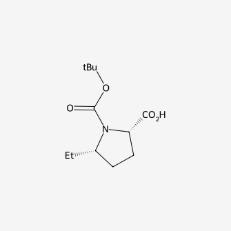 CC[C@H]1CC[C@@H](C(=O)O)N1C(=O)OC(C)(C)C